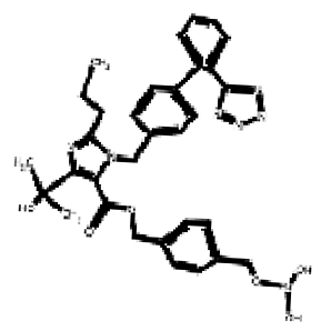 CCCc1nc(C(C)(C)O)c(C(=O)OCc2ccc(CON(O)O)cc2)n1Cc1ccc(-c2ccccc2-c2nn[nH]n2)cc1